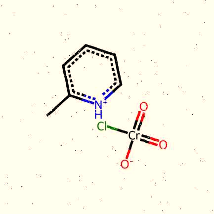 Cc1cccc[nH+]1.[O]=[Cr](=[O])([O-])[Cl]